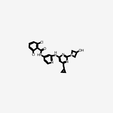 O=C(Nc1ccnc(Nc2cc(C3CC3)nc(N3CC(O)C3)n2)c1)c1c(Cl)cccc1Cl